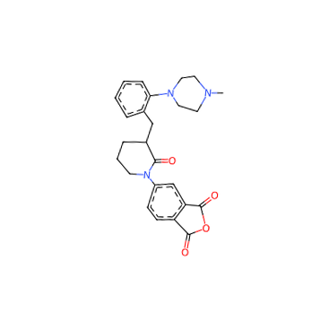 CN1CCN(c2ccccc2CC2CCCN(c3ccc4c(c3)C(=O)OC4=O)C2=O)CC1